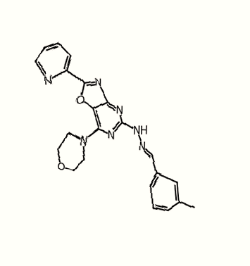 Cc1cccc(/C=N/Nc2nc(N3CCOCC3)c3oc(-c4ccccn4)nc3n2)c1